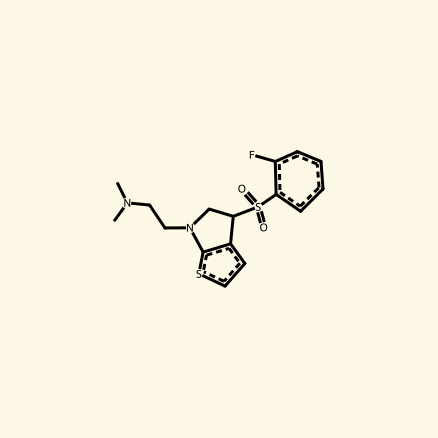 CN(C)CCN1CC(S(=O)(=O)c2ccccc2F)c2ccsc21